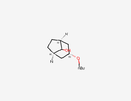 CCCCO[C@@H]1C[C@H]2CC[C@@H](C1)C2O